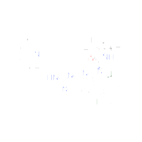 CC1CCCCN1CCCNc1ncc2cc(-c3c(Cl)cccc3Cl)c(NC(=O)NC(C)(C)C)nc2n1